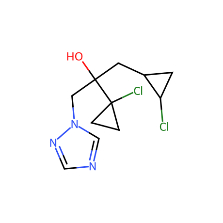 OC(CC1CC1Cl)(Cn1cncn1)C1(Cl)CC1